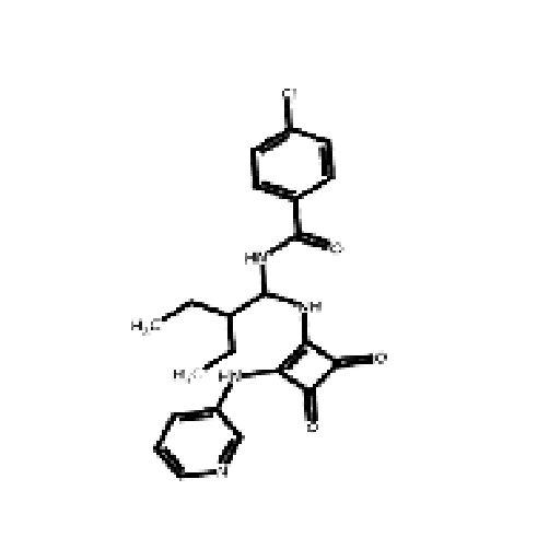 CCC(CC)C(NC(=O)c1ccc(Cl)cc1)Nc1c(Nc2cccnc2)c(=O)c1=O